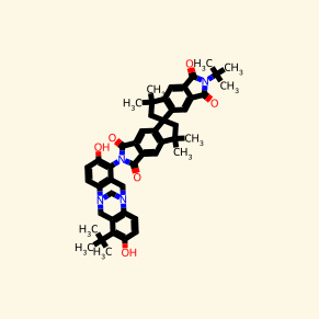 CC(C)(C)c1c(O)ccc2c1CN1CN2Cc2c1ccc(O)c2N1C(=O)c2cc3c(cc2C1=O)C1(CC3(C)C)CC(C)(C)c2cc3c(cc21)C(=O)N(C(C)(C)C)C3=O